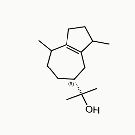 CC1CC[C@@H](C(C)(C)O)CC2=C1CCC2C